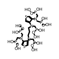 OOP(O)CN(CCCN(CP(O)OO)c1cscc1N(CP(O)OO)CP(O)OO)c1cscc1N(CP(O)OO)CP(O)OO